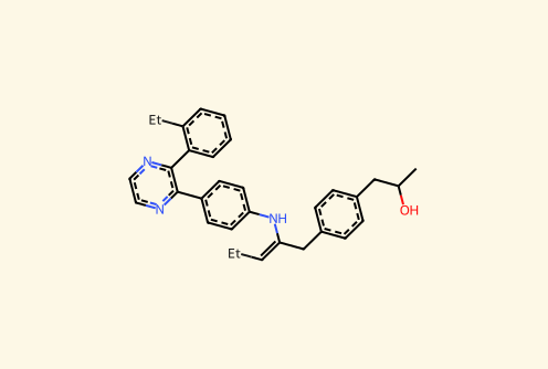 CC/C=C(/Cc1ccc(CC(C)O)cc1)Nc1ccc(-c2nccnc2-c2ccccc2CC)cc1